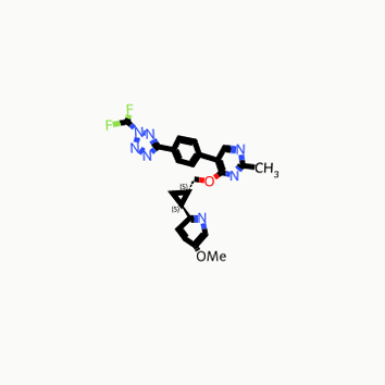 COc1ccc([C@H]2C[C@@H]2COc2nc(C)ncc2-c2ccc(-c3nnn(C(F)F)n3)cc2)nc1